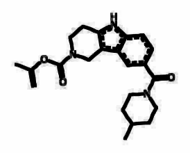 C=C(C)OC(=O)N1CCc2[nH]c3ccc(C(=O)N4CCC(C)CC4)cc3c2C1